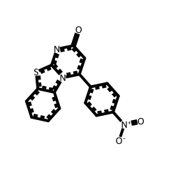 O=c1cc(-c2ccc([N+](=O)[O-])cc2)n2c(n1)sc1ccccc12